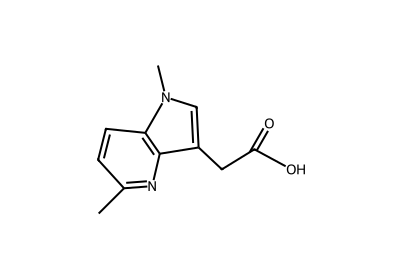 Cc1ccc2c(n1)c(CC(=O)O)cn2C